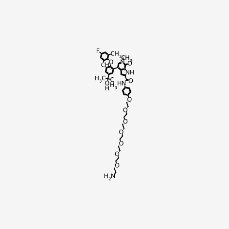 Cc1cc(F)cc(C)c1Oc1ccc(C(C)(C)O)cc1-c1cn(C)c(=O)c2[nH]c(C(=O)Nc3ccc(OCCOCCOCCOCCOCCOCCOCCN)cc3)cc12